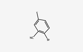 [CH2]c1ccc(Br)c(C#N)c1